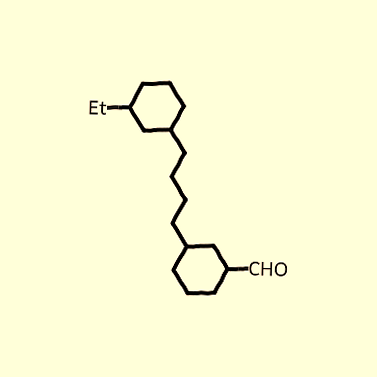 CCC1CCCC(CCCCC2CCCC(C=O)C2)C1